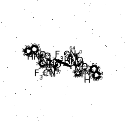 C[C@@H](C(=O)N[C@@H](CC#CC#CC[C@H](NC(=O)[C@H](C)N(C)C(=O)C(F)(F)F)C(=O)N1CCC[C@H]1C(=O)N[C@@H]1CCCc2ccccc21)C(=O)N1CCC[C@H]1C(=O)N[C@@H]1CCCc2ccccc21)N(C)C(=O)C(F)(F)F